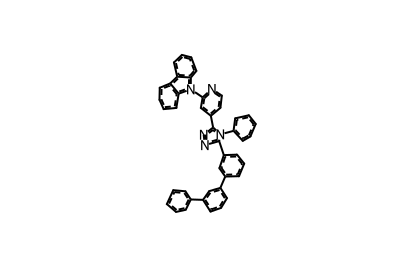 c1ccc(-c2cccc(-c3cccc(-c4nnc(-c5ccnc(-n6c7ccccc7c7ccccc76)c5)n4-c4ccccc4)c3)c2)cc1